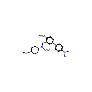 CN[C@H]1CC[C@H](N(C=O)Cc2cc(-c3ccc(N(C)C(C)=O)cc3)ccc2OC)CC1